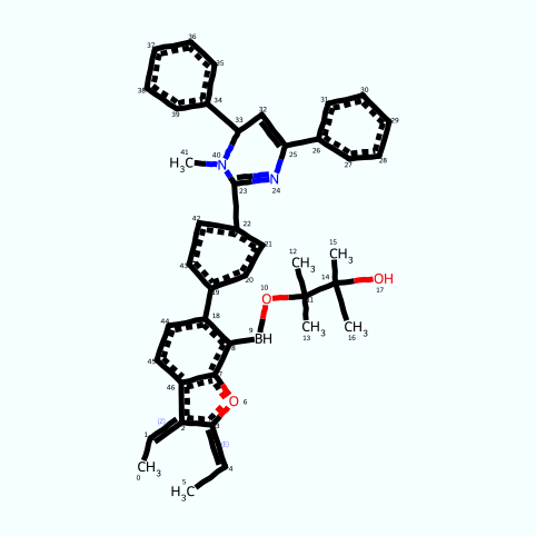 C/C=c1\c(=C/C)oc2c(BOC(C)(C)C(C)(C)O)c(-c3ccc(C4=NC(c5ccccc5)=CC(c5ccccc5)N4C)cc3)ccc12